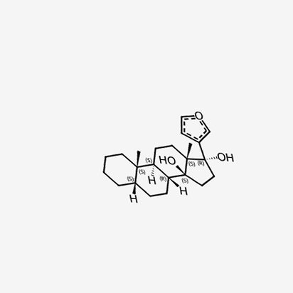 C[C@]12CCCC[C@H]1CC[C@@H]1[C@@H]2CC[C@]2(C)[C@@](O)(c3ccoc3)CC[C@]12O